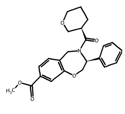 COC(=O)c1ccc2c(c1)OC[C@H](c1ccccc1)N(C(=O)[C@@H]1CCCOC1)C2